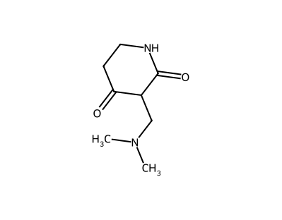 CN(C)CC1C(=O)CCNC1=O